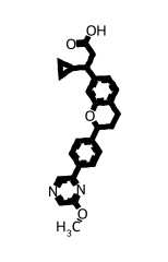 COc1cncc(-c2ccc(C3CCc4ccc(C(CC(=O)O)C5CC5)cc4O3)cc2)n1